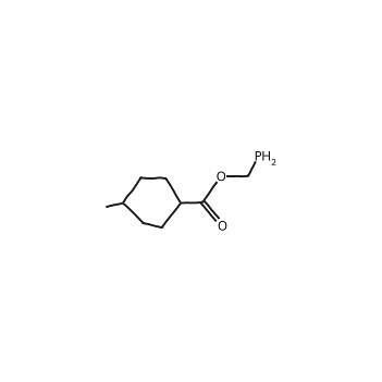 CC1CCC(C(=O)OCP)CC1